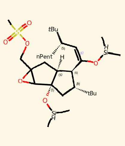 CCCCC[C@@H](/C=C(/O[SiH](C)C)[C@H]1[C@H](C(C)(C)C)C[C@@]2(O[SiH](C)C)C3OC3(COS(C)(=O)=O)C[C@@H]12)C(C)(C)C